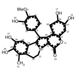 COc1ccc(-c2c3n(c4c(=O)oc5cc(O)c(O)cc5c24)CCc2c-3cc(O)c(O)c2C)cc1O